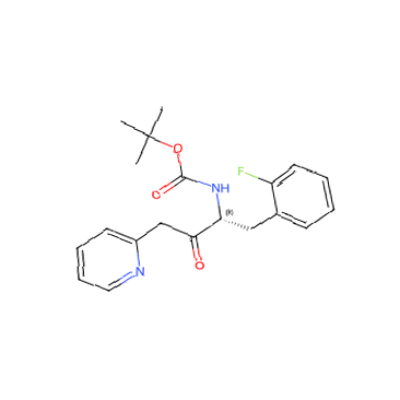 CC(C)(C)OC(=O)N[C@H](Cc1ccccc1F)C(=O)Cc1ccccn1